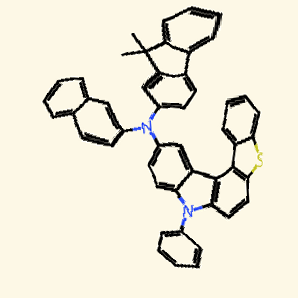 CC1(C)c2ccccc2-c2ccc(N(c3ccc4ccccc4c3)c3ccc4c(c3)c3c5c(ccc3n4-c3ccccc3)sc3ccccc35)cc21